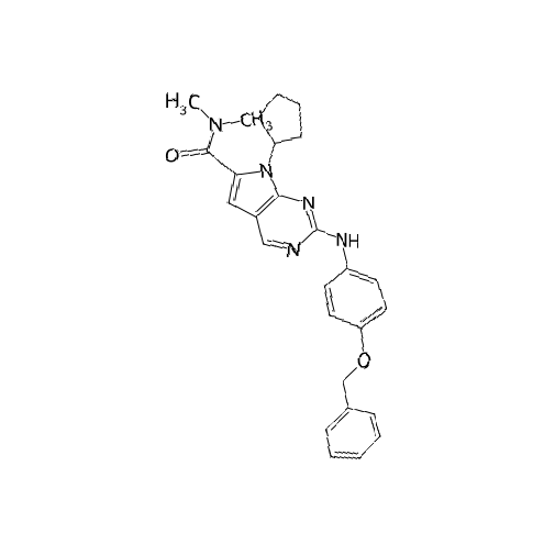 CN(C)C(=O)c1cc2cnc(Nc3ccc(OCc4ccccc4)cc3)nc2n1C1CCCC1